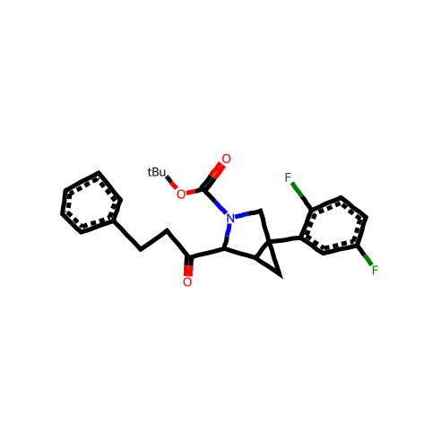 CC(C)(C)OC(=O)N1CC2(c3cc(F)ccc3F)CC2C1C(=O)CCc1ccccc1